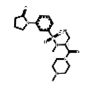 CN1CCN(C(=O)[C@H](CN)N(C)S(=O)(=O)c2cccc(N3CCCC3=O)c2)CC1